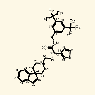 O=C(OCc1cc(C(F)(F)F)cc(C(F)(F)F)c1)[C@@H](CCN1CCC2(C=Cc3ccccc32)CC1)c1ccsc1